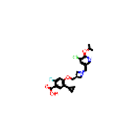 CC(C)Oc1ncc(CN2CC(COc3cc(F)c(C(=O)O)cc3C3CC3)C2)cc1Cl